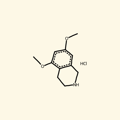 COc1cc2c(c(OC)c1)CCNC2.Cl